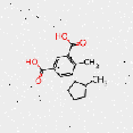 CC1CCCC1.Cc1ccc(C(=O)O)cc1C(=O)O